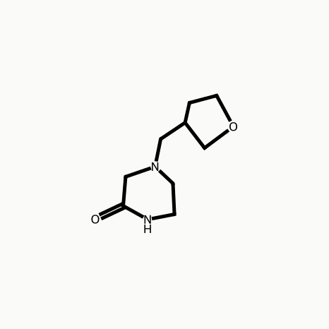 O=C1CN(CC2CCOC2)CCN1